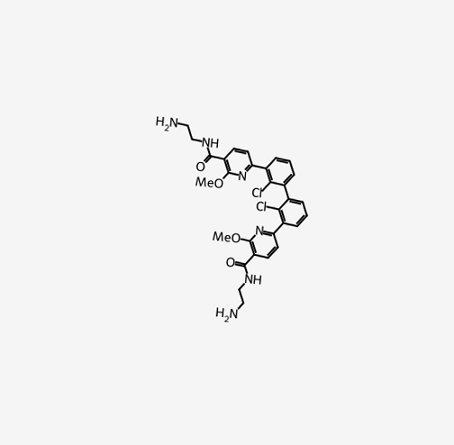 COc1nc(-c2cccc(-c3cccc(-c4ccc(C(=O)NCCN)c(OC)n4)c3Cl)c2Cl)ccc1C(=O)NCCN